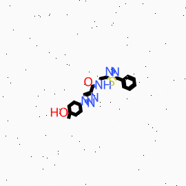 CC1(O)CCC(n2cc(C(=O)NCc3nnc(-c4ccccc4)s3)nn2)CC1